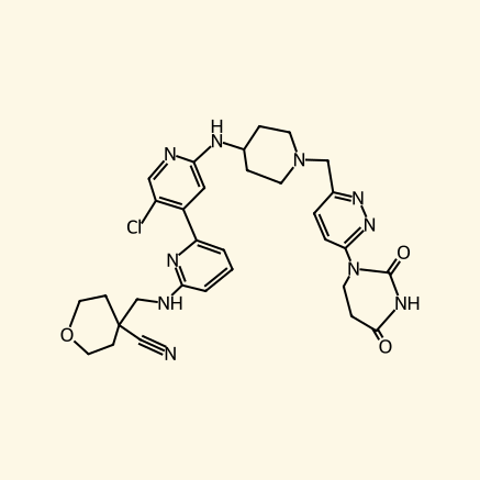 N#CC1(CNc2cccc(-c3cc(NC4CCN(Cc5ccc(N6CCC(=O)NC6=O)nn5)CC4)ncc3Cl)n2)CCOCC1